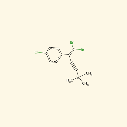 C[Si](C)(C)C#CC(=C(Br)Br)c1ccc(Cl)cc1